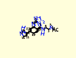 CC(=O)N(C)CCNc1nc(N)nc2cc(-c3ccn[nH]3)ccc12